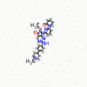 C=CCn1c(=O)c2cnc(Nc3ccc(C4CCN(C)CC4)cc3)nc2n1-c1cccc(-n2ccccc2=O)n1